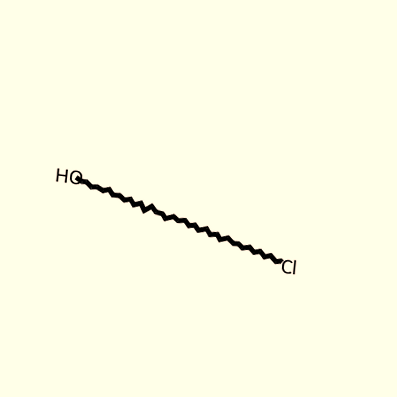 OCCCCCCCCCCCCCCCCCCCCCCCCCCCCCCCCCCCCCCCl